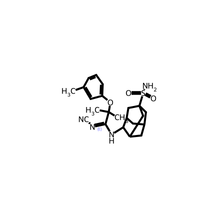 Cc1cccc(OC(C)(C)/C(=N\C#N)NC2C3CC4CC2CC(S(N)(=O)=O)(C4)C3)c1